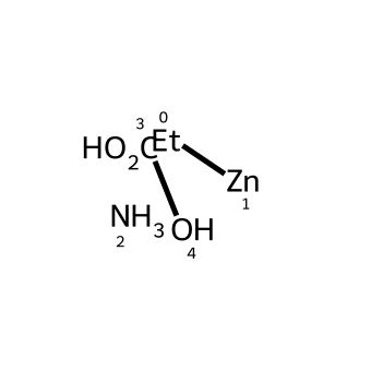 C[CH2][Zn].N.O=C(O)O